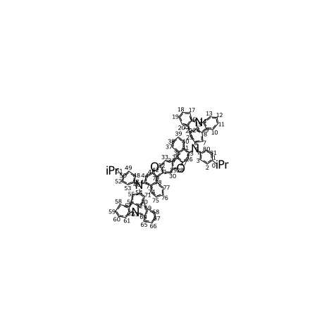 CC(C)c1ccc(N(c2cc3c4ccccc4n4c5ccccc5c(c2)c34)c2cc3oc4cc5c(cc4c3c3ccccc23)oc2cc(N(c3ccc(C(C)C)cc3)c3cc4c6ccccc6n6c7ccccc7c(c3)c46)c3ccccc3c25)cc1